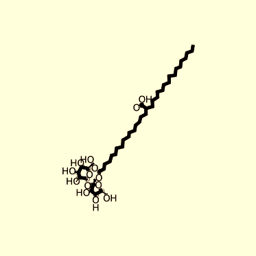 CCCCCCCCCCCCCCCCC(CCCCCCCCCCCCCCCC(=O)OC[C@@]1(O[C@H]2O[C@H](CO)[C@@H](O)[C@H](O)[C@H]2O)O[C@H](CO)[C@@H](O)[C@@H]1O)C(=O)O